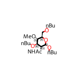 CCCCOC[C@H]1O[C@H](OCCCC)[C@@H](NC(C)=O)[C@@H](OCCCC)[C@@H]1OC